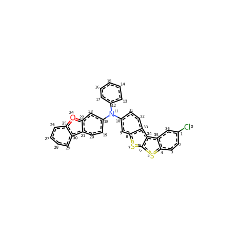 Clc1ccc2sc3sc4cc(N(c5ccccc5)c5ccc6c(c5)oc5ccccc56)ccc4c3c2c1